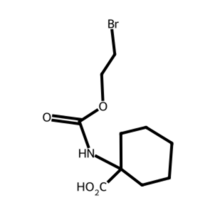 O=C(NC1(C(=O)O)CCCCC1)OCCBr